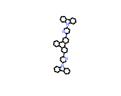 c1ccc2c(c1)c1cc(-c3ccc(-n4c5ccccc5c5ccccc54)cn3)ccc1c1ccc(-c3ccc(-n4c5ccccc5c5ccccc54)cn3)cc21